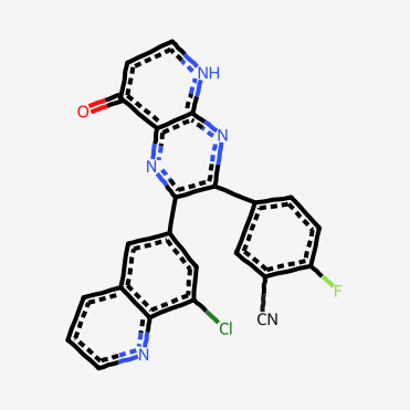 N#Cc1cc(-c2nc3[nH]ccc(=O)c3nc2-c2cc(Cl)c3ncccc3c2)ccc1F